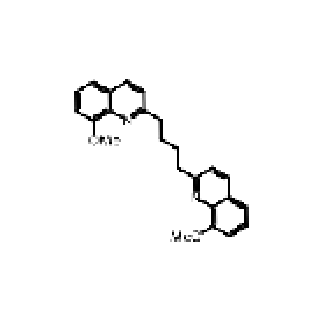 COc1cccc2ccc(CCCCc3ccc4cccc(OC)c4n3)nc12